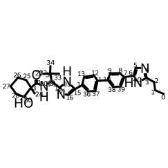 CCCc1ncc(-c2ccc(-c3ccc(-c4cnc([C@@H](NC(=O)C5(C)CCCCC5O)C(C)(C)C)[nH]4)cc3)cc2)[nH]1